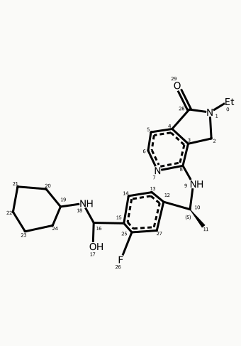 CCN1Cc2c(ccnc2N[C@@H](C)c2ccc(C(O)NC3CCCCC3)c(F)c2)C1=O